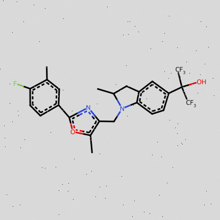 Cc1cc(-c2nc(CN3c4ccc(C(O)(C(F)(F)F)C(F)(F)F)cc4CC3C)c(C)o2)ccc1F